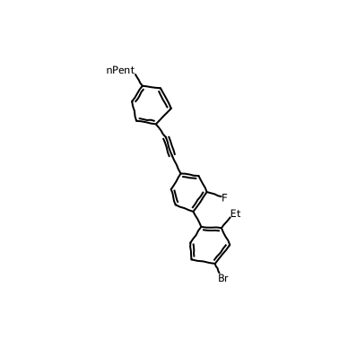 CCCCCc1ccc(C#Cc2ccc(-c3ccc(Br)cc3CC)c(F)c2)cc1